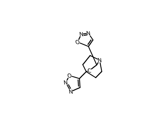 c1nnoc1C1CC2(c3cnno3)CCN1CC2